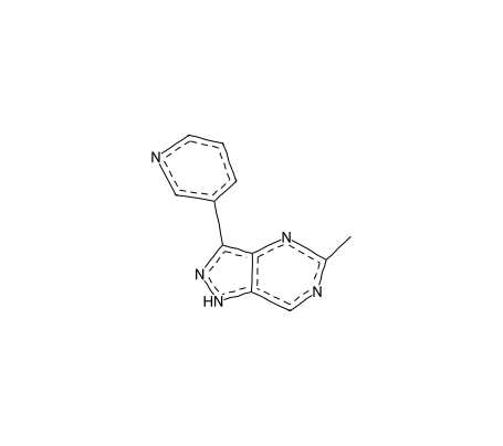 Cc1ncc2[nH]nc(-c3cccnc3)c2n1